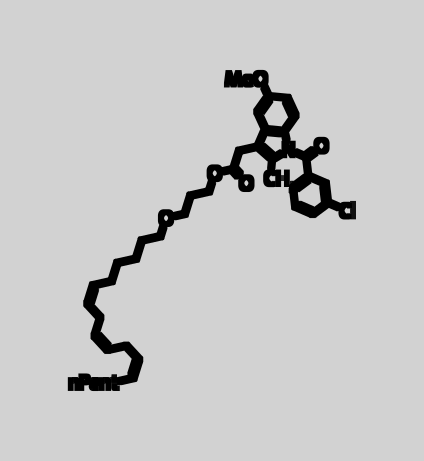 CCCCC/C=C\C/C=C\C/C=C\CCCCCOCCCOC(=O)Cc1c(C)n(C(=O)c2cccc(Cl)c2)c2ccc(OC)cc12